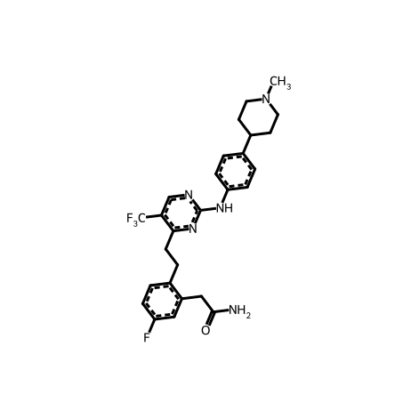 CN1CCC(c2ccc(Nc3ncc(C(F)(F)F)c(CCc4ccc(F)cc4CC(N)=O)n3)cc2)CC1